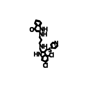 O=c1cc(NCCCNCc2[nH]c3cc(Cl)cc(Cl)c3c2CSc2ccncc2)[nH]c2ccccc12